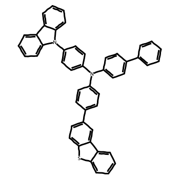 c1ccc(-c2ccc(N(c3ccc(-c4ccc5sc6ccccc6c5c4)cc3)c3ccc(-n4c5ccccc5c5ccccc54)cc3)cc2)cc1